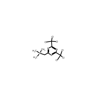 C[N+](C)(C)Cc1nc(C(Cl)(Cl)Cl)nc(C(Cl)(Cl)Cl)n1